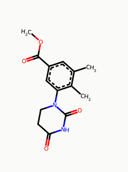 COC(=O)c1cc(C)c(C)c(N2CCC(=O)NC2=O)c1